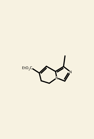 CCOC(=O)C1=Cc2c(C)ncn2CC1